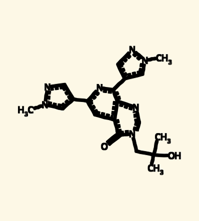 Cn1cc(-c2cc3c(=O)n(CC(C)(C)O)cnc3c(-c3cnn(C)c3)n2)cn1